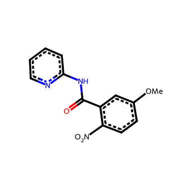 COc1ccc([N+](=O)[O-])c(C(=O)Nc2ccccn2)c1